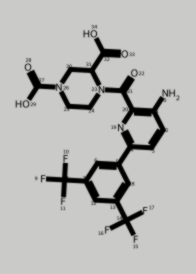 Nc1ccc(-c2cc(C(F)(F)F)cc(C(F)(F)F)c2)nc1C(=O)N1CCN(C(=O)O)CC1C(=O)O